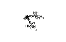 CNC(=N)N(C#N)CCSCc1nn[nH]c1CSCCN(C#N)C(=N)NC